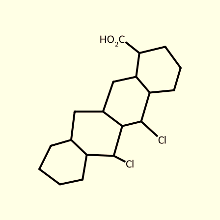 O=C(O)C1CCCC2C(Cl)C3C(CC4CCCCC4C3Cl)CC12